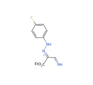 CCOC(=O)/C(C=N)=N/Nc1ccc(F)cc1